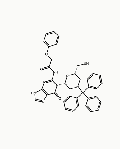 O=C(COc1ccccc1)Nc1nc2[nH]cnc2c(=O)n1[C@H]1CN(C(c2ccccc2)(c2ccccc2)c2ccccc2)C[C@@H](CO)O1